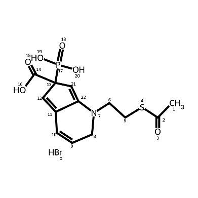 Br.CC(=O)SCCN1CC=CC2=CC(C(=O)O)(P(=O)(O)O)C=C21